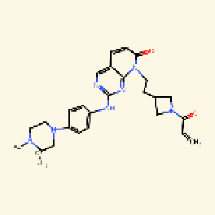 C=CC(=O)N1CC(CCn2c(=O)ccc3cnc(Nc4ccc(N5CCN(C(C)=O)[C@@H](C)C5)cc4)nc32)C1